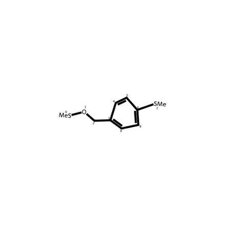 CSOCc1ccc(SC)cc1